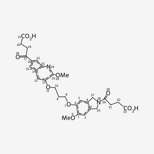 COc1cc2c(cc1OCCCOc1cc3sc(C(=O)CCC(=O)O)cc3nc1OC)CN(C(=O)CCC(=O)O)C2